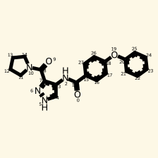 O=C(Nc1c[nH]nc1C(=O)N1CCCC1)c1ccc(Oc2ccccc2)cc1